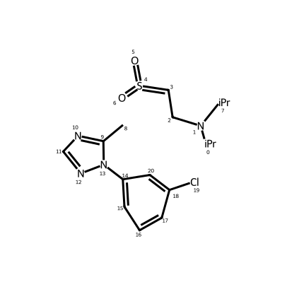 CC(C)N(CC=S(=O)=O)C(C)C.Cc1ncnn1-c1cccc(Cl)c1